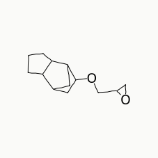 C1CC2C3CC(OCC4CO4)C(C3)C2C1